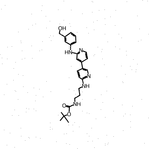 CC(C)(C)OC(=O)NCCCNc1ccc(-c2ccnc(Nc3cccc(CO)c3)c2)cn1